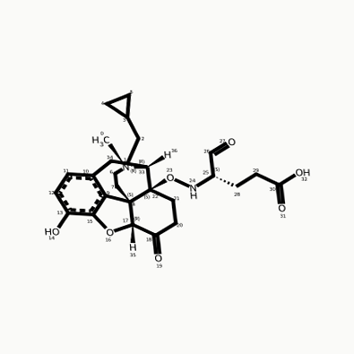 C[N@+]1(CC2CC2)CC[C@]23c4c5ccc(O)c4O[C@H]2C(=O)CC[C@@]3(ON[C@H](C=O)CCC(=O)O)[C@H]1C5